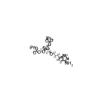 CC(C)OC(=O)OCOP(=O)(CCOCCCc1ccc2c(N)ncnn12)OCOC(=O)OC(C)C